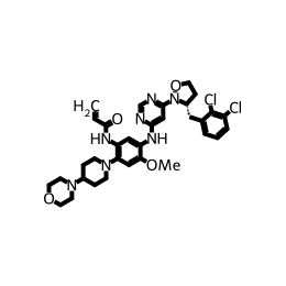 C=CC(=O)Nc1cc(Nc2cc(N3OCC[C@@H]3Cc3cccc(Cl)c3Cl)ncn2)c(OC)cc1N1CCC(N2CCOCC2)CC1